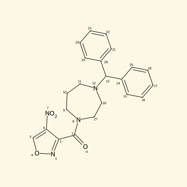 O=C(c1nocc1[N+](=O)[O-])N1CCCN(C(c2ccccc2)c2ccccc2)CC1